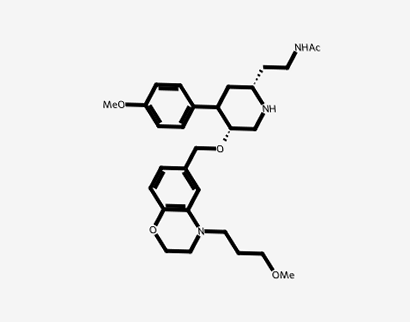 COCCCN1CCOc2ccc(CO[C@H]3CN[C@@H](CCNC(C)=O)CC3c3ccc(OC)cc3)cc21